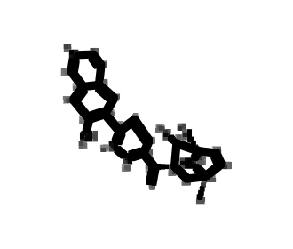 C=C(c1ccc(-c2cc3ccncc3cc2O)nn1)[C@H]1C[C@]2(C)C=C[C@@H](N2)[C@@H]1F